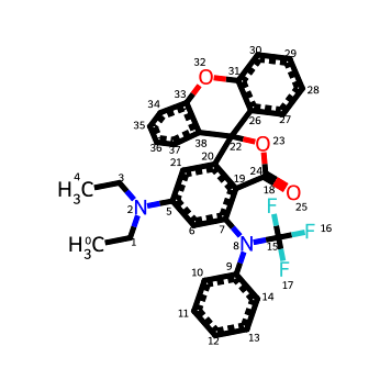 CCN(CC)c1cc(N(c2ccccc2)C(F)(F)F)c2c(c1)C1(OC2=O)c2ccccc2Oc2ccccc21